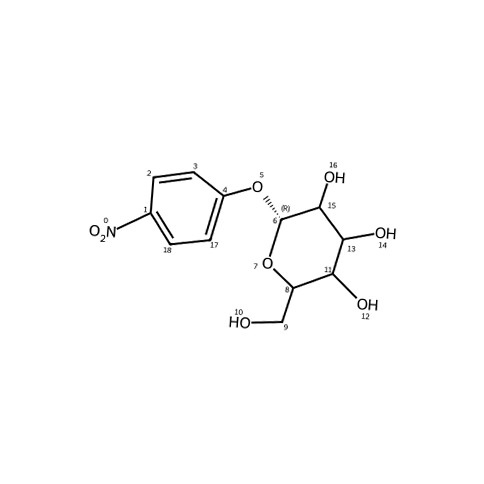 O=[N+]([O-])c1ccc(O[C@H]2OC(CO)C(O)C(O)C2O)cc1